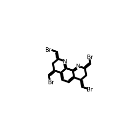 Br/C=C1/C/C(=C\Br)c2ccc3c(c2=N1)=N/C(=C/Br)C/C3=C/Br